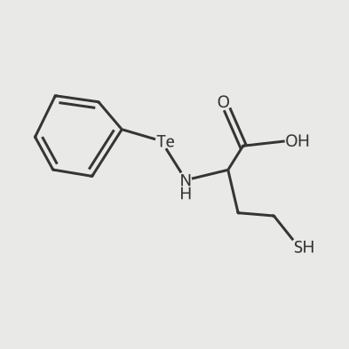 O=C(O)C(CCS)N[Te]c1ccccc1